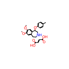 COc1cc2c(cc1OC)C(Oc1ccc(C)cc1)CNCC2.O=C(O)C=CC(=O)O